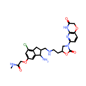 CNC(=O)COc1cc(Cl)c2c(c1)C(N)C(CNCCC1CN(c3ccc4c(n3)NC(=O)CO4)C(=O)O1)C2